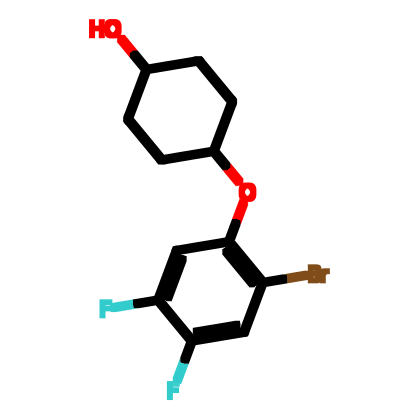 OC1CCC(Oc2cc(F)c(F)cc2Br)CC1